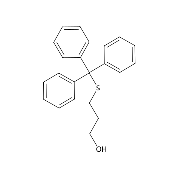 OCCCSC(c1ccccc1)(c1ccccc1)c1ccccc1